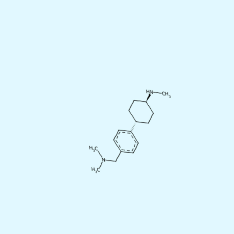 CN[C@H]1CC[C@H](c2ccc(CN(C)C)cc2)CC1